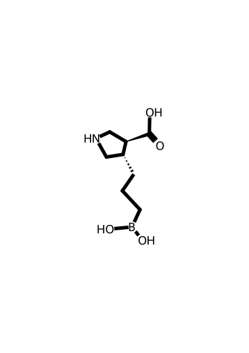 O=C(O)[C@@H]1CNC[C@H]1CCCB(O)O